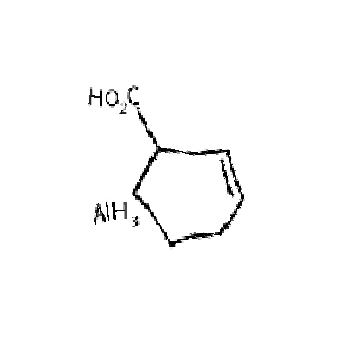 O=C(O)C1C=CCCC1.[AlH3]